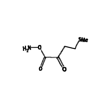 CSCCC(=O)C(=O)ON